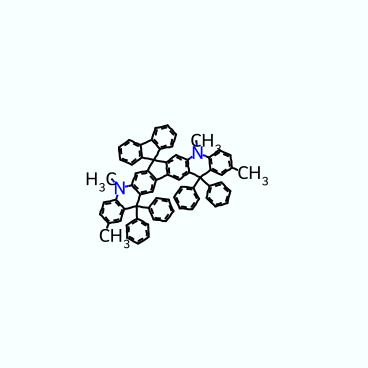 Cc1ccc2c(c1)C(c1ccccc1)(c1ccccc1)c1cc3c(cc1N2C)C1(c2ccccc2-c2ccccc21)c1cc2c(cc1-3)C(c1ccccc1)(c1ccccc1)c1cc(C)ccc1N2C